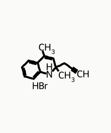 Br.C#CCC1(C)C=C(C)c2ccccc2N1